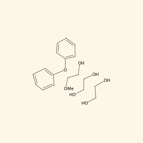 COCCO.OCCO.OCCO.c1ccc(Oc2ccccc2)cc1